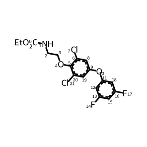 CCOC(=O)NCCOc1c(Cl)cc(Oc2cc(F)cc(F)c2)cc1Cl